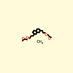 C.c1cc2ccc(CCCOCC3CO3)cc2cc1CCCOCC1CO1